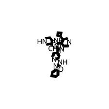 CC1(C)CNCC[C@@H]1Nc1nc(-c2ccnc(Nc3nc4ccccc4o3)c2)nc2cncc(C3CCC3)c12